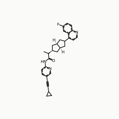 CC(C(=O)Nc1ccc(C#CC2CC2)cn1)[C@H]1C[C@H]2CC(c3ccnc4ccc(F)cc34)C[C@H]2C1